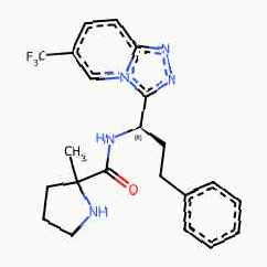 CC1(C(=O)N[C@H](CCc2ccccc2)c2nnc3ccc(C(F)(F)F)cn23)CCCN1